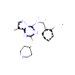 COc1ccccc1[C@H](C)Nc1nc(OC2CCNCC2)nc2c(C(C)C)cnn12